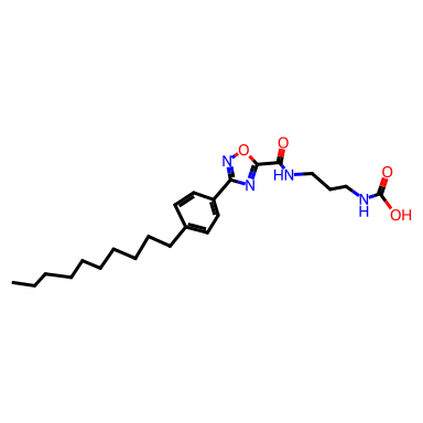 CCCCCCCCCCc1ccc(-c2noc(C(=O)NCCCNC(=O)O)n2)cc1